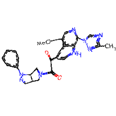 COc1cnc(-n2cnc(C)n2)c2[nH]cc(C(=O)C(=O)N3CC4C=NN(c5ccccc5)C4C3)c12